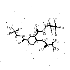 C=C(C)C(=O)OC1CCC(C(=O)OCC(C)(F)F)CC1C(=O)OCC(F)(F)C(F)(F)F